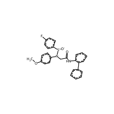 COc1ccc(N(CC(=O)Nc2ccccc2-c2ccccc2)[S+]([O-])c2ccc(F)cc2)cc1